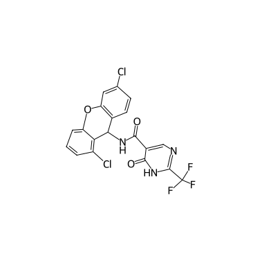 O=C(NC1c2ccc(Cl)cc2Oc2cccc(Cl)c21)c1cnc(C(F)(F)F)[nH]c1=O